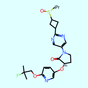 CC(C)[S+]([O-])C1CC(c2ncc(N3CC[C@@H](Oc4ccc(OCC(C)(C)F)nc4)C3=O)cn2)C1